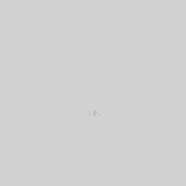 C[C@H](NC1=CC(C)(C)O1)C(=O)OCc1ccccc1